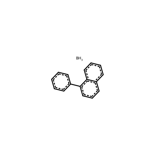 B.c1ccc(-c2cccc3ccccc23)cc1